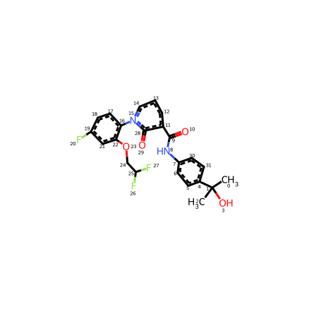 CC(C)(O)c1ccc(NC(=O)c2cccn(-c3ccc(F)cc3OCC(F)F)c2=O)cc1